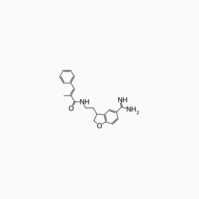 CC(=Cc1ccccc1)C(=O)NCCC1COc2ccc(C(=N)N)cc21